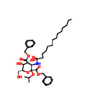 CCCCCCCCCCCCCC(=O)N[C@H]1C(OC(C)C)(C(=O)OCc2ccccc2)O[C@H](CO)[C@@H](O)[C@@]1(O)C(=O)OCc1ccccc1